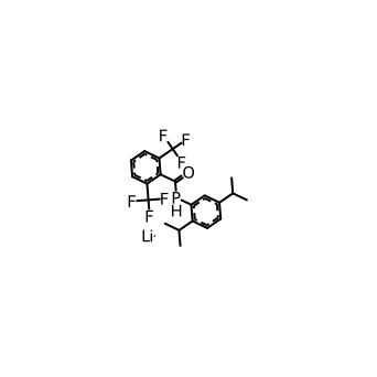 CC(C)c1ccc(C(C)C)c(PC(=O)c2c(C(F)(F)F)cccc2C(F)(F)F)c1.[Li]